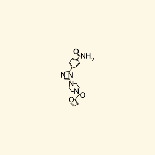 NC(=O)c1ccc(-c2cncc(N3CCN(C(=O)c4ccco4)CC3)n2)cc1